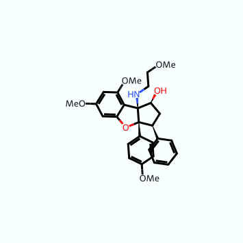 COCCN[C@]12c3c(OC)cc(OC)cc3O[C@@]1(c1ccc(OC)cc1)[C@H](c1ccccc1)C[C@@H]2O